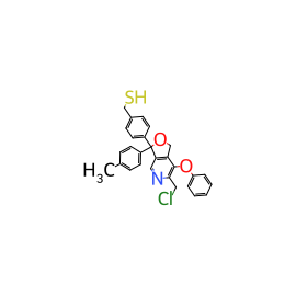 Cc1ccc(C2(c3ccc(CS)cc3)OCc3c2cnc(CCl)c3Oc2ccccc2)cc1